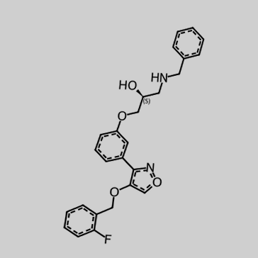 O[C@@H](CNCc1ccccc1)COc1cccc(-c2nocc2OCc2ccccc2F)c1